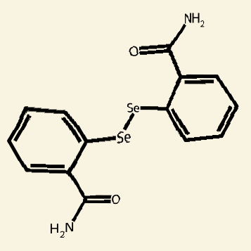 NC(=O)c1ccccc1[Se][Se]c1ccccc1C(N)=O